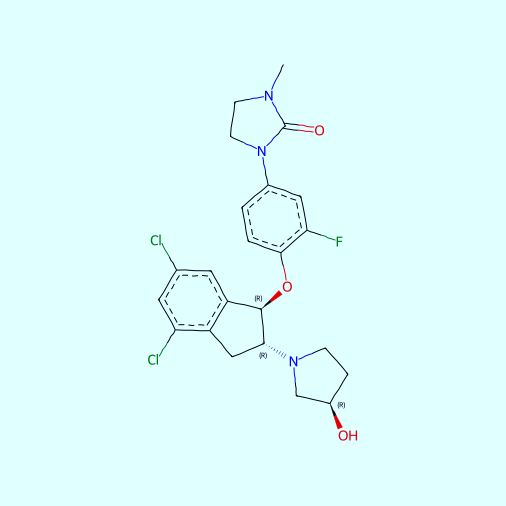 CN1CCN(c2ccc(O[C@@H]3c4cc(Cl)cc(Cl)c4C[C@H]3N3CC[C@@H](O)C3)c(F)c2)C1=O